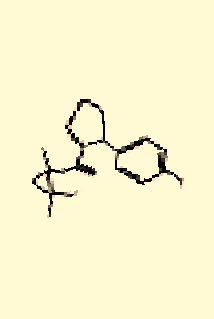 C=C(N1CCCC1c1ccc(F)cc1)C1(C)CC1(C)F